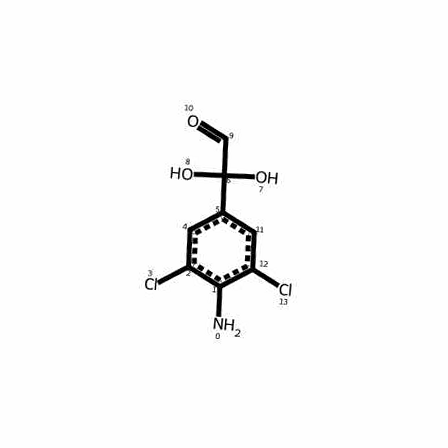 Nc1c(Cl)cc(C(O)(O)C=O)cc1Cl